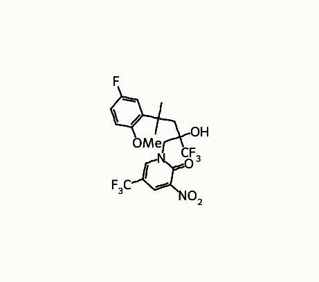 COc1ccc(F)cc1C(C)(C)CC(O)(Cn1cc(C(F)(F)F)cc([N+](=O)[O-])c1=O)C(F)(F)F